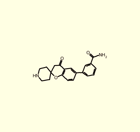 NC(=O)c1cccc(-c2ccc3c(c2)C(=O)CC2(CCNCC2)O3)c1